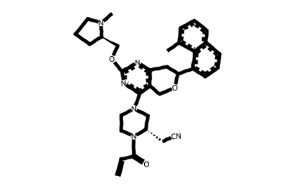 C=CC(=O)N1CCN(c2nc(OC[C@H]3CCCN3C)nc3c2COC(c2cccc4cccc(C)c24)C3)C[C@@H]1CC#N